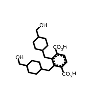 O=C(O)c1ccc(C(=O)O)c(CC2CCC(CO)CC2)c1CC1CCC(CO)CC1